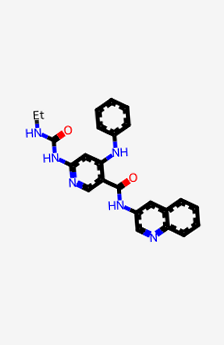 CCNC(=O)Nc1cc(Nc2ccccc2)c(C(=O)Nc2cnc3ccccc3c2)cn1